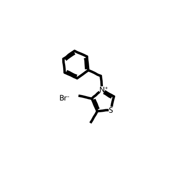 Cc1sc[n+](Cc2ccccc2)c1C.[Br-]